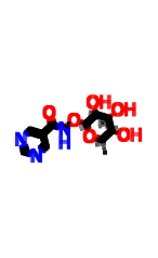 C[C@@H]1O[C@@H](ONC(=O)c2cncnc2)[C@@H](O)[C@H](O)[C@@H]1O